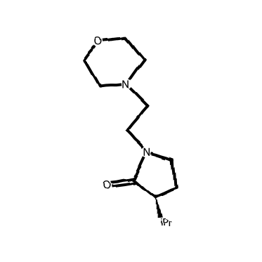 CC(C)[C@@H]1CCN(CCN2CCOCC2)C1=O